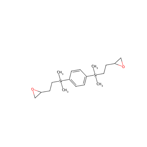 C[Si](C)(CCC1CO1)c1ccc([Si](C)(C)CCC2CO2)cc1